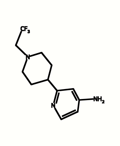 Nc1ccnc(C2CCN(CC(F)(F)F)CC2)c1